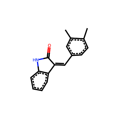 Cc1ccc(/C=C2\C(=O)Nc3ccccc32)cc1C